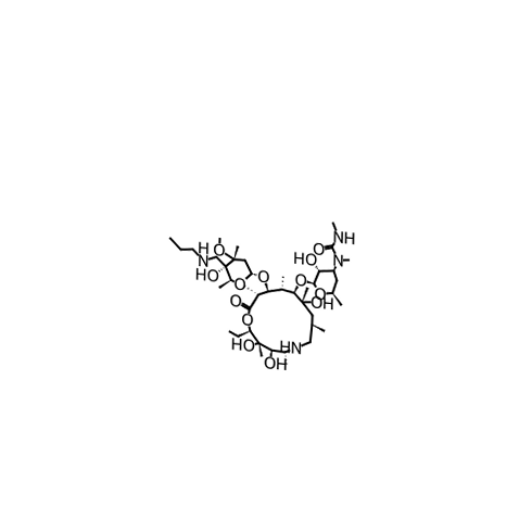 CCCNC[C@]1(O)[C@H](C)O[C@@H](O[C@H]2[C@H](C)[C@@H](O[C@@H]3O[C@H](C)C[C@H](N(C)C(=O)NC)[C@H]3O)[C@](C)(O)C[C@@H](C)CN[C@H](C)[C@@H](O)[C@](C)(O)[C@@H](CC)OC(=O)[C@@H]2C)C[C@@]1(C)OC